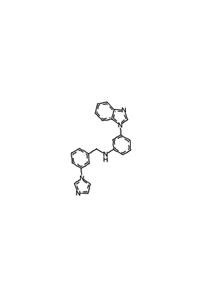 c1cc(CNc2cccc(-n3cnc4ccccc43)c2)cc(-n2ccnc2)c1